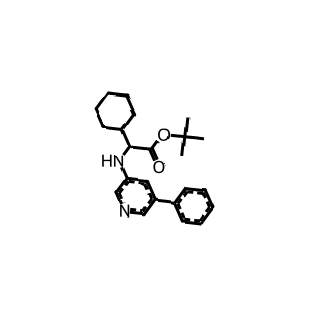 CC(C)(C)OC(=O)C(Nc1cncc(-c2ccccc2)c1)C1CCCCC1